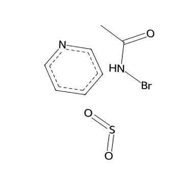 CC(=O)NBr.O=S=O.c1ccncc1